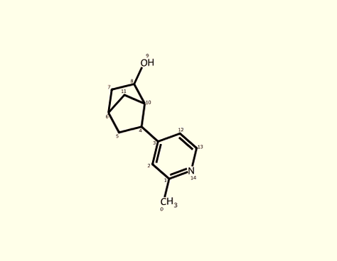 Cc1cc(C2CC3CC(O)C2C3)ccn1